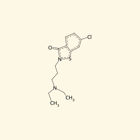 CCN(CC)CCCn1sc2cc(Cl)ccc2c1=O